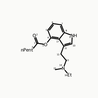 CCCCCC(=O)Oc1cccc2[nH]cc(CCN(C)CC)c12